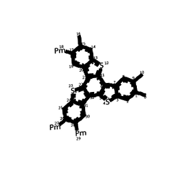 Cc1cc2sc3c(c2cc1C)c1sc2cc(C)[c]([Pm])cc2c1c1sc2c[c]([Pm])[c]([Pm])cc2c31